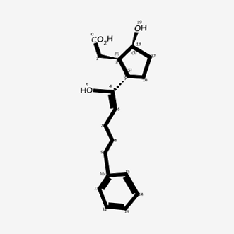 O=C(O)C[C@@H]1[C@@H](C(O)=CCCCc2ccccc2)CC[C@@H]1O